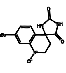 CCCCc1ccc2c(c1)[S+]([O-])CCC21NC(=O)NC1=O